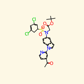 CC(=O)c1ccnc(-n2ccc3cc(N(CC(=O)OC(C)(C)C)S(=O)(=O)C4C=C(Cl)C=C(Cl)C4)ccc32)c1